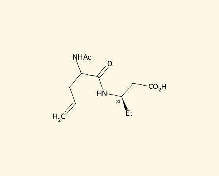 C=CCC(NC(C)=O)C(=O)N[C@H](CC)CC(=O)O